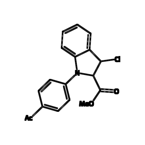 COC(=O)C1C(Cl)c2ccccc2N1c1ccc(C(C)=O)cc1